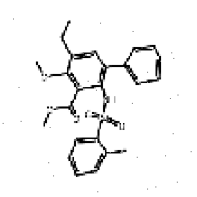 CCc1cc(-c2ccccc2)c(NS(=O)(=O)c2ccccc2F)c(C(=O)OC)c1OC